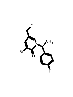 C[C@@H](c1ccc(F)cc1)n1cc(CF)cc(Br)c1=O